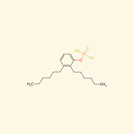 CCCCCCc1cccc(OP(=S)(S)S)c1CCCCCC